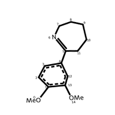 COc1ccc(C2=NCCCCC2)cc1OC